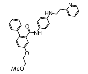 COCCOc1ccc(-c2ccccc2)c(C(=O)Nc2ccc(NCCc3ccccn3)cc2)c1